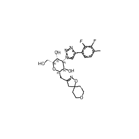 Cc1ccc(-c2cn([C@H]3[C@@H](O)[C@@H](CO)O[C@H](CC4=NOC5(CCOCC5)C4)[C@@H]3O)nn2)c(F)c1F